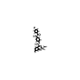 CCN(C)c1nc(NCc2ccc(NC(=O)c3ccc(F)cc3)cc2)c2ccc(C)cc2n1